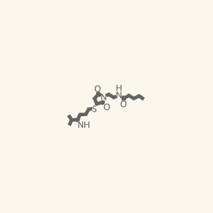 CCCCC(=O)NCCN1C(=O)CC(SCCCC(=N)C(C)C)C1=O